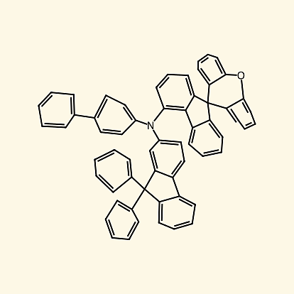 c1ccc(-c2ccc(N(c3ccc4c(c3)C(c3ccccc3)(c3ccccc3)c3ccccc3-4)c3cccc4c3-c3ccccc3C43c4ccccc4Oc4ccccc43)cc2)cc1